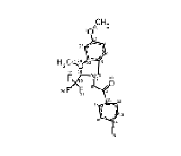 COc1ccc(CN(CC(=O)c2ccc(F)cc2)CC(F)(F)F)c(OC)c1